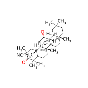 CC1(C)CC[C@]2(C)CC[C@]3(C)[C@H](C(=O)C[C@@H]4[C@@]5(C)CC(C)(C#N)C(=O)C(C)(C)C5CC[C@]43C)[C@H]2C1